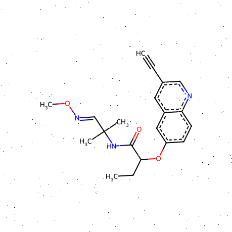 C#Cc1cnc2ccc(OC(CC)C(=O)NC(C)(C)/C=N/OC)cc2c1